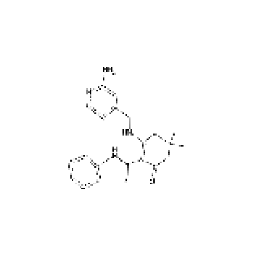 CC1(C)CC(=O)C(C(=S)Nc2ccccc2)=C(NCc2cc(N)ncn2)C1